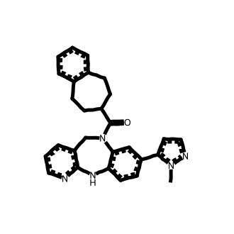 Cn1nccc1-c1ccc2c(c1)N(C(=O)C1CCc3ccccc3CC1)Cc1cccnc1N2